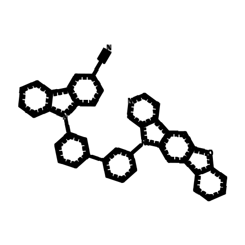 N#Cc1ccc2c(c1)c1ccccc1n2-c1cccc(-c2cccc(-n3c4cnccc4c4cc5oc6ccccc6c5cc43)c2)c1